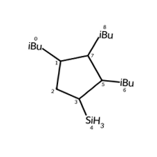 CCC(C)C1CC([SiH3])C(C(C)CC)C1C(C)CC